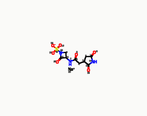 O=C1CC(CC(=O)NC2CN(S(=O)(=O)[O-])C2=O)C(=O)N1.[Na+]